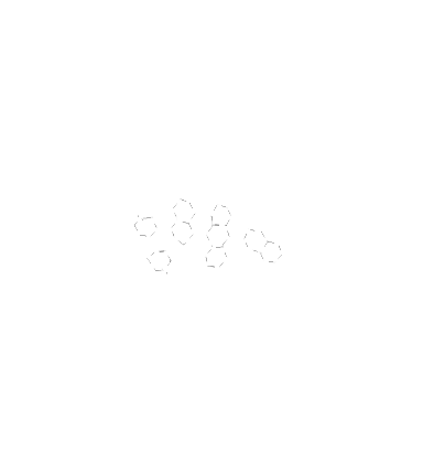 CCc1ccc2cc(-c3c4ccccc4c(-c4ccc(-c5cnccc5-c5ccncc5)c5ccccc45)c4ccccc34)ccc2c1